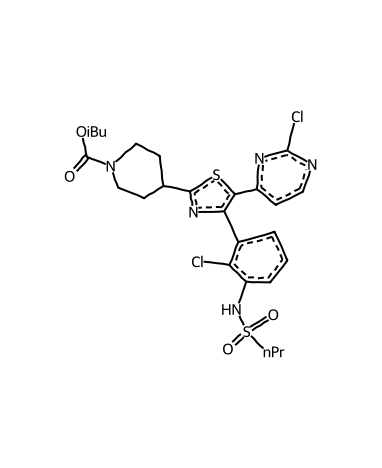 CCCS(=O)(=O)Nc1cccc(-c2nc(C3CCN(C(=O)OCC(C)C)CC3)sc2-c2ccnc(Cl)n2)c1Cl